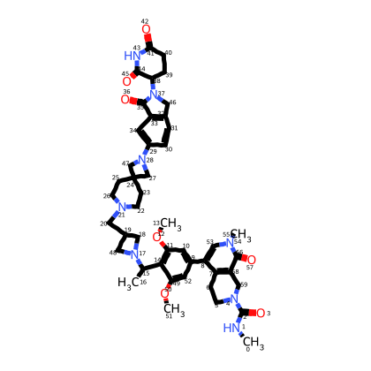 CNC(=O)N1CCc2c(-c3cc(OC)c(C(C)N4CC(CN5CCC6(CC5)CN(c5ccc7c(c5)C(=O)N(C5CCC(=O)NC5=O)C7)C6)C4)c(OC)c3)cn(C)c(=O)c2C1